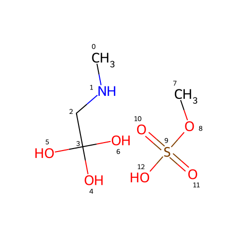 CNCC(O)(O)O.COS(=O)(=O)O